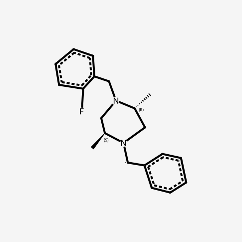 C[C@@H]1CN([CH]c2ccccc2)[C@@H](C)CN1Cc1ccccc1F